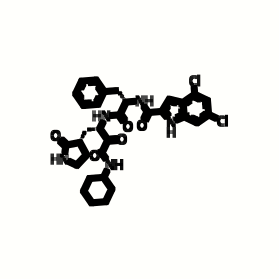 O=C(NC1CCCCC1)C(=O)[C@H](C[C@@H]1CCNC1=O)NC(=O)[C@H](Cc1ccccc1)NC(=O)c1cc2c(Cl)cc(Cl)cc2[nH]1